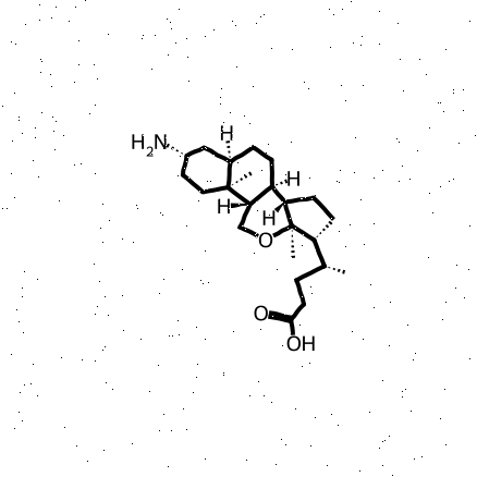 C[C@H](CCC(=O)O)[C@H]1CC[C@H]2[C@@H]3CC[C@@H]4C[C@@H](N)CC[C@]4(C)[C@H]3CO[C@]12C